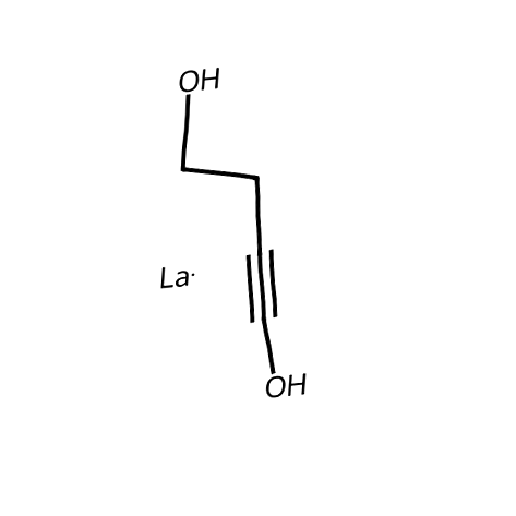 OC#CCCO.[La]